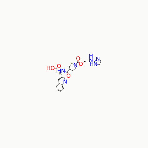 O=C(O)C[C@H](NC(=O)C1CCN(C(=O)OCCNC2=NCCN2)CC1)c1cnc2ccccc2c1